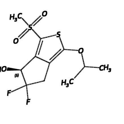 CC(C)Oc1sc(S(C)(=O)=O)c2c1CC(F)(F)[C@H]2O